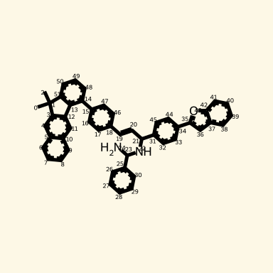 CC1(C)c2cc3ccccc3cc2-c2c(-c3ccc(/C=C/C(NC(N)c4ccccc4)c4ccc(-c5cc6ccccc6o5)cc4)cc3)cccc21